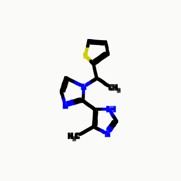 Cc1nc[nH]c1-c1nccn1C(C)c1cccs1